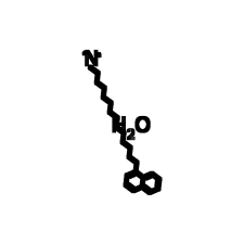 CN(C)CCCCCCCCCCCCCCc1cccc2ccccc12.O